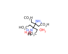 NC(CC(=O)O)(CC(=O)O)C(N)(CC(=O)O)CC(=O)O.O.O.[Fe]